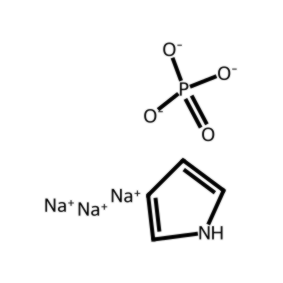 O=P([O-])([O-])[O-].[Na+].[Na+].[Na+].c1cc[nH]c1